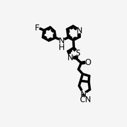 N#CN1CC2CC(CC(=O)c3ncc(-c4cnccc4Nc4ccc(F)cc4)s3)C2C1